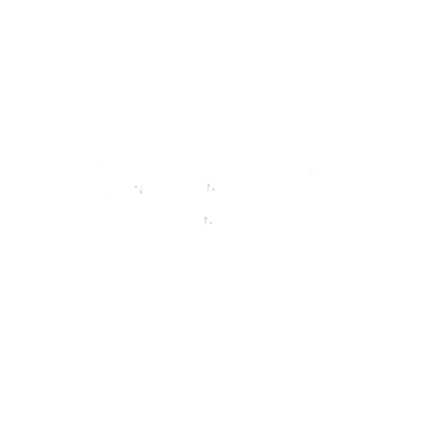 Cc1cc(C)c2c(c1)C(C)c1cc(C)cc(C)c1-c1ccc3c(c1)c1cc-2ccc1c1ncc(-c2cccc(-n4c5ccccc5c5ccccc54)c2)nc31